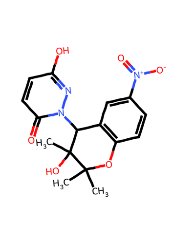 CC1(C)Oc2ccc([N+](=O)[O-])cc2C(n2nc(O)ccc2=O)C1(C)O